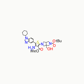 COC(=O)c1c(N2CC3CN(C(=O)OC(C)(C)C)CC3(CO)C2)sc(-c2ccc3c(c2)ncn3C2CCCCC2)c1N